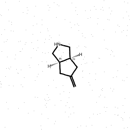 C=C1C[C@H]2CNC[C@H]2C1